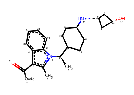 COC(=O)c1c(C)n([C@H](C)C2CCC(N[C@H]3C[C@@H](O)C3)CC2)c2ccccc12